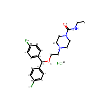 CCNC(=O)N1CCN(CCOC(c2ccc(F)cc2)c2ccc(F)cc2)CC1.Cl